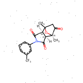 CC12CC(=O)[C@](C)(O1)[C@H]1C(=O)N(c3cccc(C(F)(F)F)c3)C(=O)[C@H]12